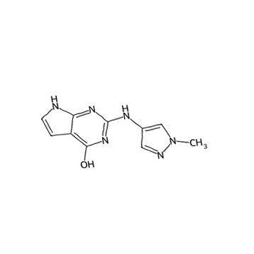 Cn1cc(Nc2nc(O)c3cc[nH]c3n2)cn1